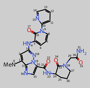 CNc1cc(Nc2cccn(-c3ccccn3)c2=O)nn2c(C(=O)NC3CCCN(CC(N)=O)C3=O)cnc12